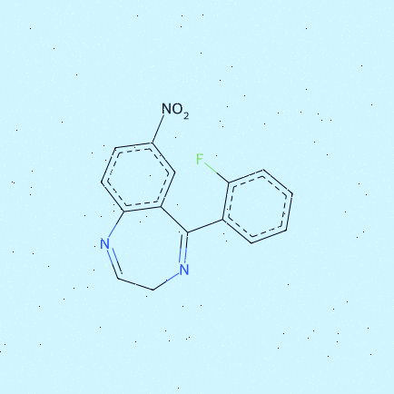 O=[N+]([O-])c1ccc2c(c1)C(c1ccccc1F)=NCC=N2